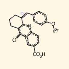 CC(C)Oc1ccc(/C=C2/CCCc3c2nc2ccc(C(=O)O)cn2c3=O)cc1